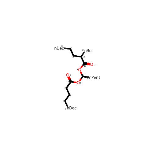 CCCCCCCCCCCCCC(=O)OC(CCCCC)OC(=O)C(CCCC)CCCCCCCCCCCC